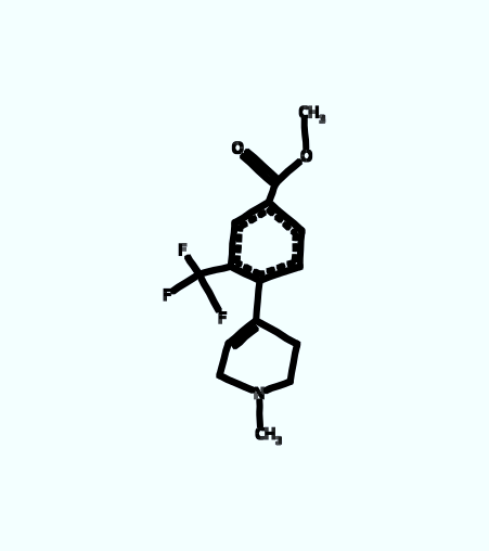 COC(=O)c1ccc(C2=CCN(C)CC2)c(C(F)(F)F)c1